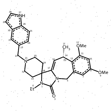 CCN1C(=O)N2Cc3cc(OC)cc(OC)c3[C@@H](C)C=C2C12CCN(Cc1ccc3[nH]ccc3c1)CC2